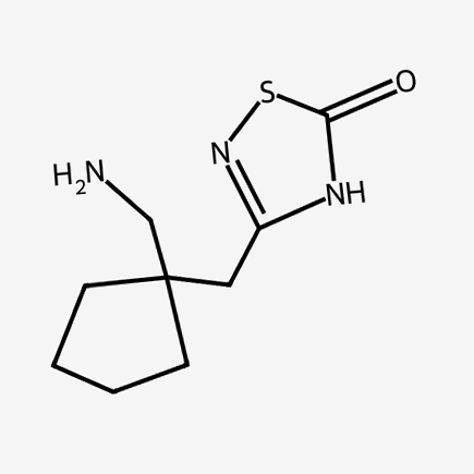 NCC1(Cc2nsc(=O)[nH]2)CCCC1